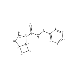 O=C(OCc1ccccc1)C1NCC2CCN21